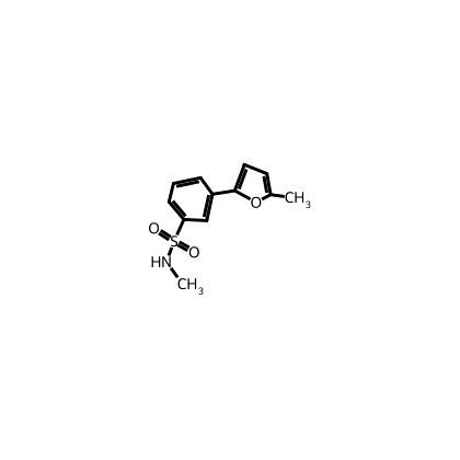 CNS(=O)(=O)c1cccc(-c2ccc(C)o2)c1